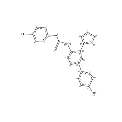 O=C(Cc1ccc(F)cc1)Nc1ncc(-c2ccc(O)cc2)nc1-c1cccs1